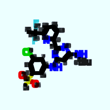 CC(C)(C)Nc1cc(Nc2cc(Cl)cc(S(C)(=O)=O)c2)nc(-c2cccc(C(C)(F)F)n2)n1